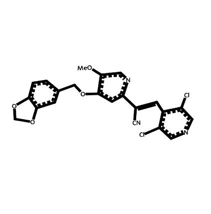 COc1cnc(C(C#N)=Cc2c(Cl)cncc2Cl)cc1OCc1ccc2c(c1)OCO2